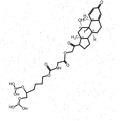 C[C@]12C[C@H](O)C3(F)[C@@H](CCC4=CC(=O)C=C[C@@]43C)C1CCC2C(=O)COC(=O)CNC(=O)OCCCCC(CON(O)O)ON(O)O